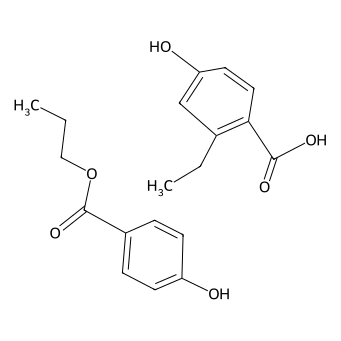 CCCOC(=O)c1ccc(O)cc1.CCc1cc(O)ccc1C(=O)O